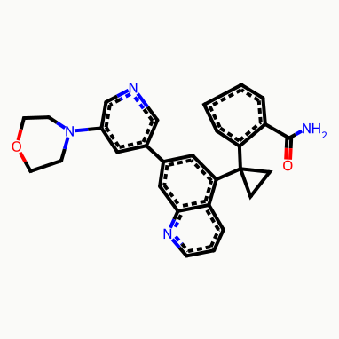 NC(=O)c1ccccc1C1(c2cc(-c3cncc(N4CCOCC4)c3)cc3ncccc23)CC1